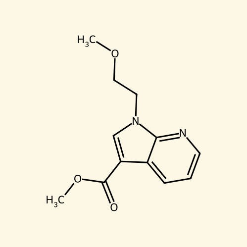 COCCn1cc(C(=O)OC)c2cccnc21